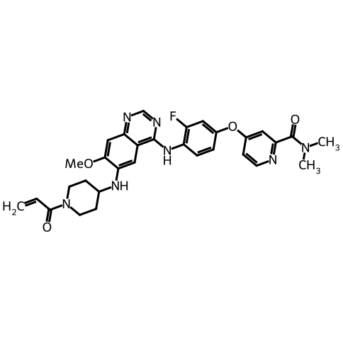 C=CC(=O)N1CCC(Nc2cc3c(Nc4ccc(Oc5ccnc(C(=O)N(C)C)c5)cc4F)ncnc3cc2OC)CC1